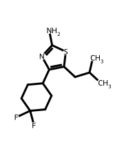 CC(C)Cc1sc(N)nc1C1CCC(F)(F)CC1